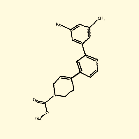 CC(=O)c1cc(C)cc(-c2cc(C3=CCN(C(=O)OC(C)(C)C)CC3)ccn2)c1